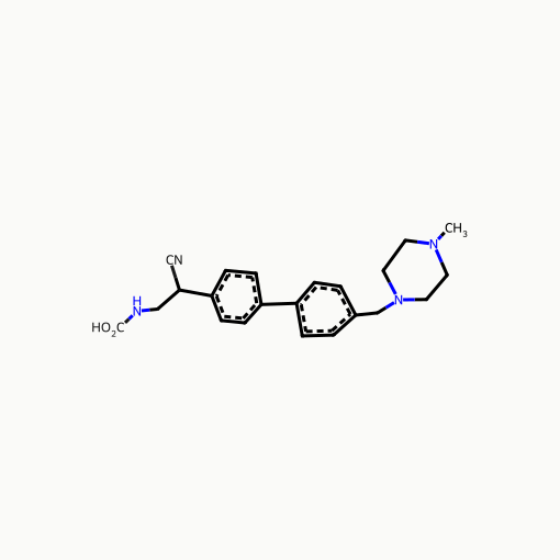 CN1CCN(Cc2ccc(-c3ccc(C(C#N)CNC(=O)O)cc3)cc2)CC1